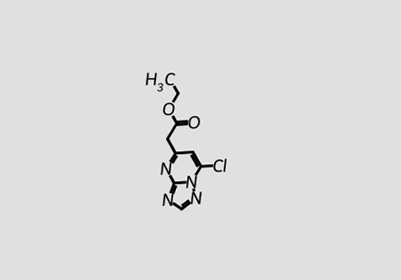 CCOC(=O)Cc1cc(Cl)n2ncnc2n1